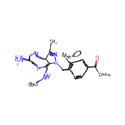 CCCCNc1nc(N)nc2c(C)nn(Cc3ccc(C(=O)OC)cc3OC)c12